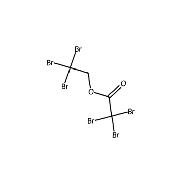 O=C(OCC(Br)(Br)Br)C(Br)(Br)Br